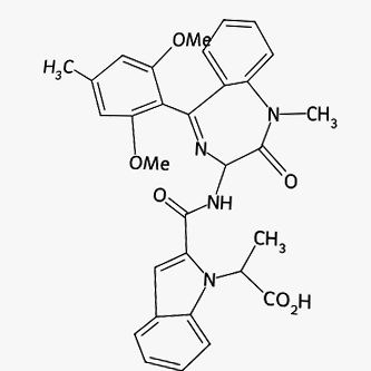 COc1cc(C)cc(OC)c1C1=NC(NC(=O)c2cc3ccccc3n2C(C)C(=O)O)C(=O)N(C)c2ccccc21